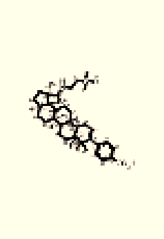 CC(C)[C@@]1(C(=O)NCC[N+](C)(C)[O-])CC[C@@H]2CC[C@]3(C)[C@H](CC[C@@H]4[C@@]5(C)CC=C(c6ccc(C(=O)O)cc6)C(C)(C)[C@@H]5CC[C@]43C)[C@@H]21